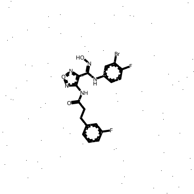 O=C(CCc1cccc(F)c1)Nc1nonc1/C(=N\O)Nc1ccc(F)c(Br)c1